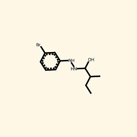 CCC(C)C(O)NNc1cccc(Br)c1